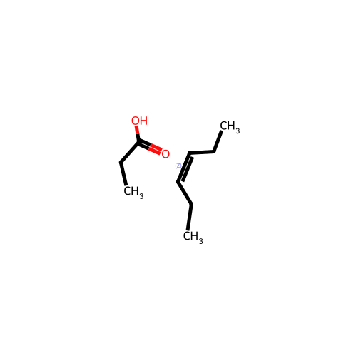 CC/C=C\CC.CCC(=O)O